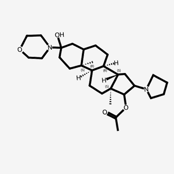 CC(=O)OC1C(N2CCCC2)C[C@H]2[C@@H]3CCC4CC(O)(N5CCOCC5)CC[C@]4(C)[C@@H]3CC[C@]12C